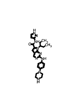 CCC(CC)n1c(C(=O)Nc2cc[nH]n2)cc2cnc(Nc3ccc(N4CCNCC4)cc3)nc21